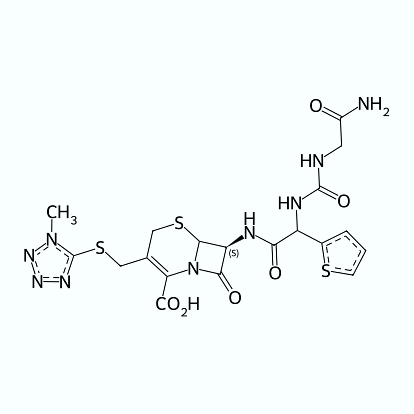 Cn1nnnc1SCC1=C(C(=O)O)N2C(=O)[C@H](NC(=O)C(NC(=O)NCC(N)=O)c3cccs3)C2SC1